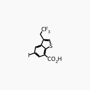 O=C(O)c1cc(I)cc2c(CC(F)(F)F)csc12